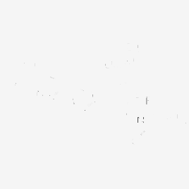 COC(=O)c1cc(F)c(CN2C[C@@H](C)CC2=O)c(Oc2ccc(-c3ccc(C(C)C)nn3)cc2)c1